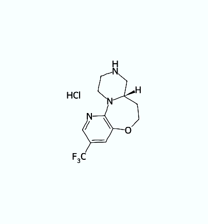 Cl.FC(F)(F)c1cnc2c(c1)OCC[C@H]1CNCCN21